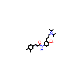 COc1ccc(NC(=O)/C=C/c2ccc(C)c(C)c2)cc1CCCN(C(C)C)C(C)C